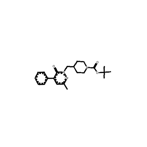 Cc1cc(-c2ccccc2)c(=O)n(CC2CCN(C(=O)OC(C)(C)C)CC2)n1